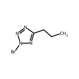 CCCc1nnn(Br)n1